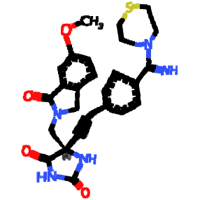 COc1ccc2c(c1)C(=O)N(C[C@@]1(C#Cc3ccc(C(=N)N4CCSCC4)cc3)NC(=O)NC1=O)C2